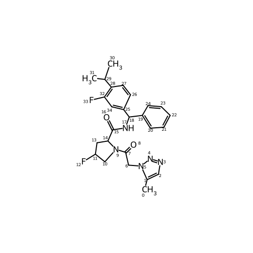 Cc1cnnn1CC(=O)N1CC(F)CC1C(=O)NC(c1ccccc1)c1ccc(C(C)C)c(F)c1